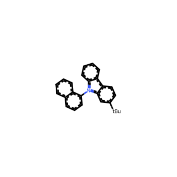 CC(C)(C)c1ccc2c3ccccc3n(-c3cccc4ccccc34)c2c1